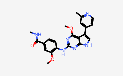 CNC(=O)c1ccc(Nc2nc(OC)c3c(-c4ccnc(C)c4)c[nH]c3n2)c(OC)c1